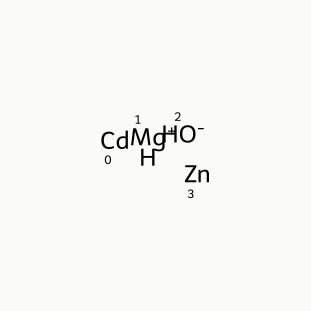 [Cd].[MgH+].[OH-].[Zn]